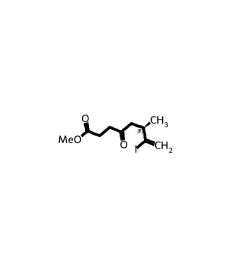 C=C(I)[C@H](C)CC(=O)CCC(=O)OC